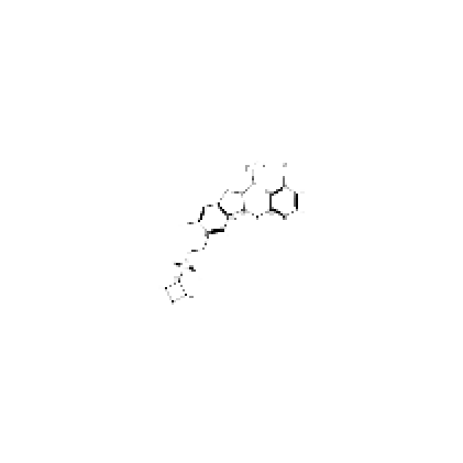 CNCC1Cc2cc(F)c(CNS(=O)(=O)C3CCC3)cc2C1Cc1cccc(F)c1